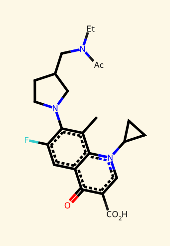 CCN(CC1CCN(c2c(F)cc3c(=O)c(C(=O)O)cn(C4CC4)c3c2C)C1)C(C)=O